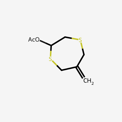 C=C1CSCC(OC(C)=O)SC1